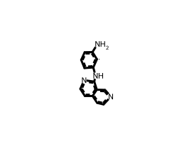 Nc1[c]c(Nc2nccc3ccncc23)ccc1